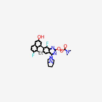 CCc1c(F)ccc2cc(O)cc(-c3ccc4c(N5CC6CCC(C5)N6)nc(OOC(=O)N(C)C)nc4c3F)c12